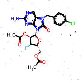 CC(=O)OC[C@H]1O[C@@H](n2c(=O)n(Cc3ccc(Cl)cc3)c3cnc(N)nc32)[C@H](OC(C)=O)[C@@H]1F